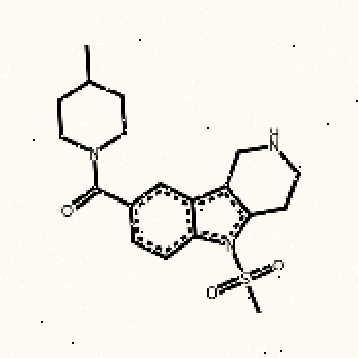 CC1CCN(C(=O)c2ccc3c(c2)c2c(n3S(C)(=O)=O)CCNC2)CC1